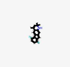 CC1=CC(C)(C)NC2=CC3=Cc4c(F)ccc(F)c4C3=CC12